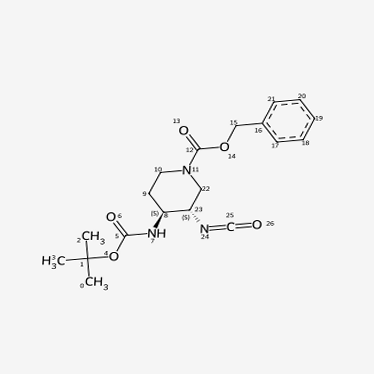 CC(C)(C)OC(=O)N[C@H]1CCN(C(=O)OCc2ccccc2)C[C@@H]1N=C=O